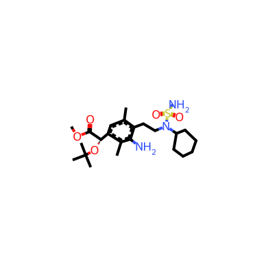 COC(=O)[C@@H](OC(C)(C)C)c1cc(C)c(CCN(C2CCCCC2)S(N)(=O)=O)c(N)c1C